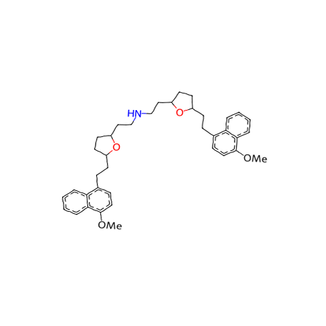 COc1ccc(CCC2CCC(CCNCCC3CCC(CCc4ccc(OC)c5ccccc45)O3)O2)c2ccccc12